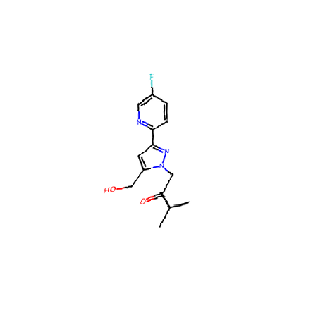 CC(C)C(=O)Cn1nc(-c2ccc(F)cn2)cc1CO